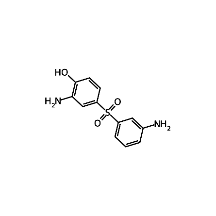 Nc1cccc(S(=O)(=O)c2ccc(O)c(N)c2)c1